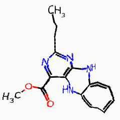 CCCc1nc2c(c(C(=O)OC)n1)Nc1ccccc1N2